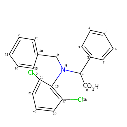 O=C(O)C(c1ccccc1)N(Cc1ccccc1)c1c(Cl)cccc1Cl